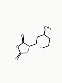 CC1CCC[C@H]([C@@H]2CC(=O)OC2=O)C1